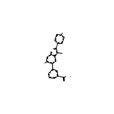 CCOC(=O)c1c(-c2ccc(F)cc2)oc2cc([N+](=O)[O-])c(-c3cccc(C(=O)OC(C)(C)C)c3)cc12